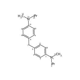 CC(C)N(C)c1ccc(Cc2ccc(N(C)C(C)C)cc2)cc1